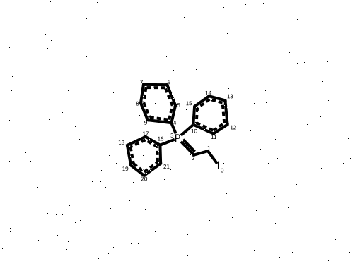 ICC=P(c1ccccc1)(c1ccccc1)c1ccccc1